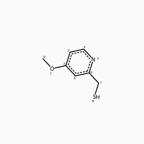 COc1ccnc(CS)c1